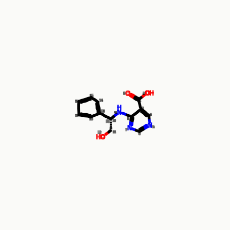 O=C(O)c1cncnc1N[C@H](CO)c1ccccc1